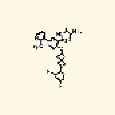 CCOc1ncccc1-c1ccc(OC2CC3(C2)CN(c2ccc(F)cc2C#N)C3)c(C(=O)NC(C)C(N)=O)n1